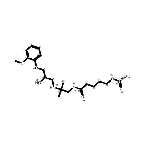 COc1ccccc1OCC(O)CNC(C)(C)CNC(=O)CCCCO[N+](=O)[O-]